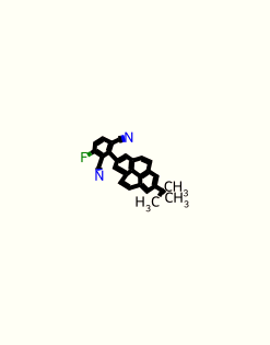 CC(C)(C)c1cc2ccc3cc(-c4c(C#N)ccc(F)c4C#N)cc4ccc(c1)c2c34